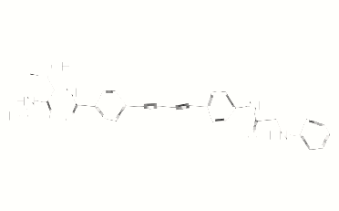 C[C@@H](O)[C@H](NC(=O)c1ccc(C#CC#Cc2ccc(NC(=O)CNc3ccccc3)cc2)cc1)C(=O)NO